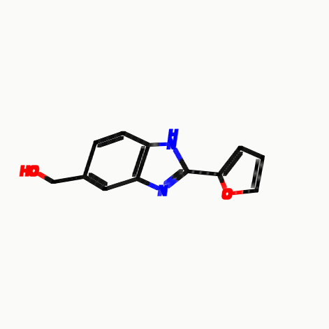 OCc1ccc2[nH]c(-c3ccco3)nc2c1